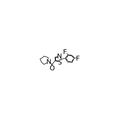 O=C(c1cnc(-c2ccc(F)cc2F)s1)N1CCCCC1